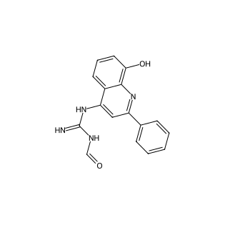 N=C(NC=O)Nc1cc(-c2ccccc2)nc2c(O)cccc12